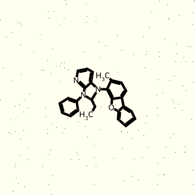 CCC1N(c2ccccc2)c2ncccc2N1c1c(C)ccc2c1oc1ccccc12